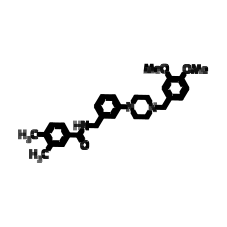 COc1ccc(CN2CCN(c3cccc(CNC(=O)c4ccc(C)c(C)c4)c3)CC2)cc1OC